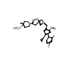 CCOc1cc(-c2ccc(F)cc2F)c(C2CC2)cc1CN1CC2(CC(N3CCC(C)(C(=O)O)CC3)=NO2)C1